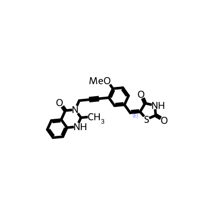 COc1ccc(/C=C2/SC(=O)NC2=O)cc1C#CCN1C(=O)c2ccccc2NC1C